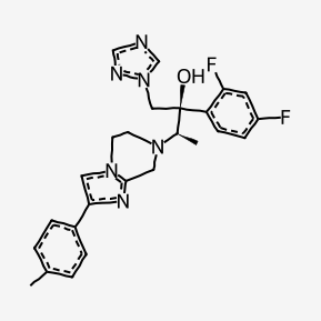 Cc1ccc(-c2cn3c(n2)CN([C@H](C)[C@](O)(Cn2cncn2)c2ccc(F)cc2F)CC3)cc1